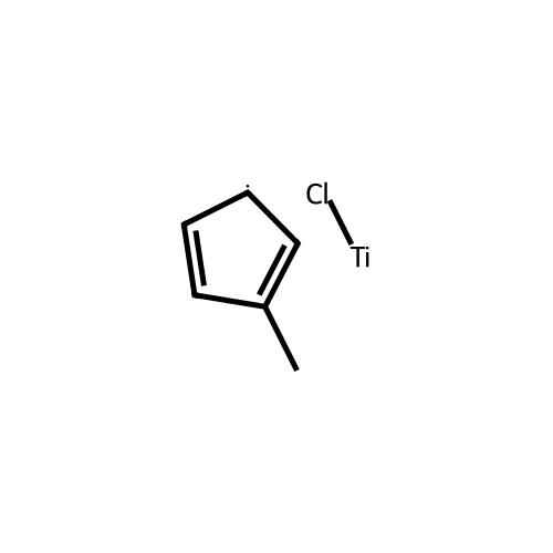 CC1=C[CH]C=C1.[Cl][Ti]